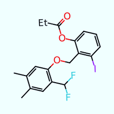 CCC(=O)Oc1cccc(I)c1COc1cc(C)c(C)cc1C(F)F